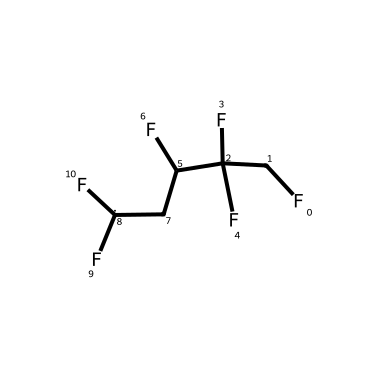 FCC(F)(F)C(F)C[C](F)F